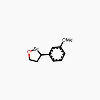 COc1cccc(C2CCO[Se]2)c1